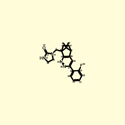 CC1(C)C2CCC1(CN1CCNC1=O)c1nnc(-c3ccccc3F)cc12